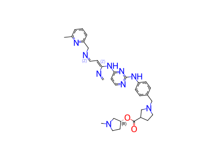 C=N/C(=C\C=N/Cc1cccc(C)n1)Nc1ccnc(Nc2ccc(CN3CCC(C(=O)O[C@@H]4CCN(C)C4)C3)cc2)n1